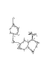 Clc1ccc(Oc2ccc3ncnc([AsH2])c3n2)cc1